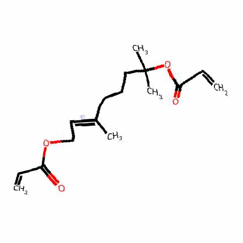 C=CC(=O)OC/C=C(\C)CCCC(C)(C)OC(=O)C=C